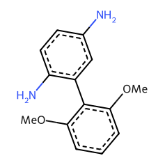 COc1cccc(OC)c1-c1cc(N)ccc1N